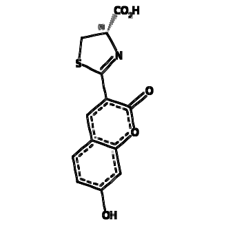 O=C(O)[C@H]1CSC(c2cc3ccc(O)cc3oc2=O)=N1